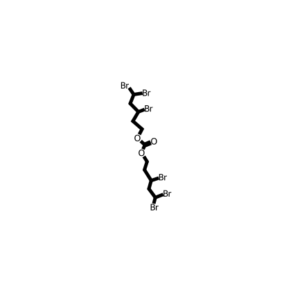 O=C(OCCC(Br)CC(Br)Br)OCCC(Br)CC(Br)Br